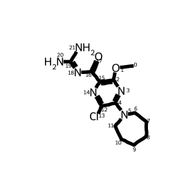 COc1nc(N2CCCCCC2)c(Cl)nc1C(=O)N=C(N)N